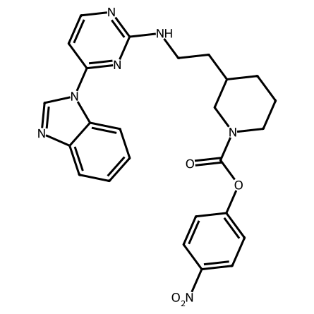 O=C(Oc1ccc([N+](=O)[O-])cc1)N1CCCC(CCNc2nccc(-n3cnc4ccccc43)n2)C1